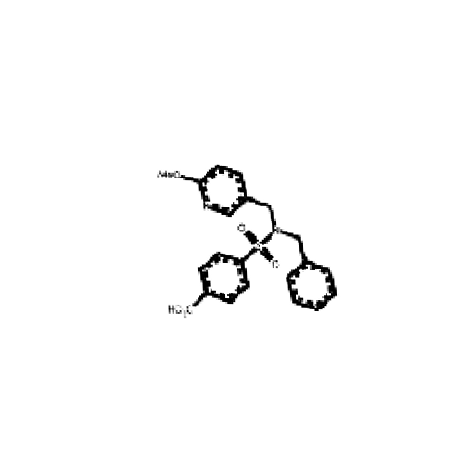 COc1ccc(CN(Cc2ccccc2)S(=O)(=O)c2ccc(C(=O)O)cc2)cn1